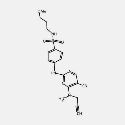 C#CCN(C)c1nc(Nc2ccc(S(=O)(=O)NCCCOC)cc2)ncc1C#N